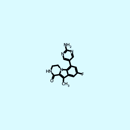 Cc1c2n(c3c(-c4cnc(N)nc4)cc(F)cc13)CCNC2=O